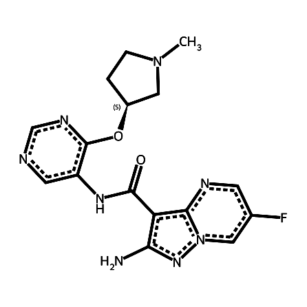 CN1CC[C@H](Oc2ncncc2NC(=O)c2c(N)nn3cc(F)cnc23)C1